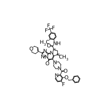 Cc1cc(C(F)(F)F)ccc1NC(=O)[C@H]1C[C@@H](C)c2c(N3CCN(C(=O)c4nccc(F)c4OCc4ccccc4)CC3)c(=O)n3nc(C4=CCOCC4)nc3n21